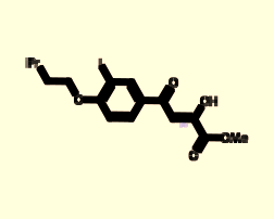 COC(=O)/C(O)=C/C(=O)c1ccc(OCCC(C)C)c(I)c1